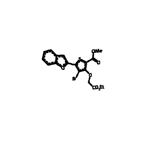 CCOC(=O)COc1c(C(=O)OC)sc(-c2cc3ccccc3o2)c1Br